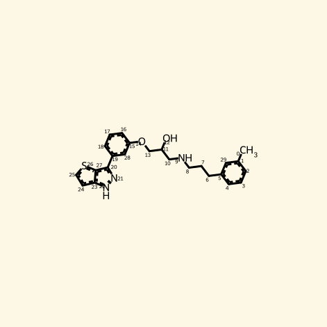 Cc1cccc(CCCNCC(O)COc2cccc(-c3n[nH]c4ccsc34)c2)c1